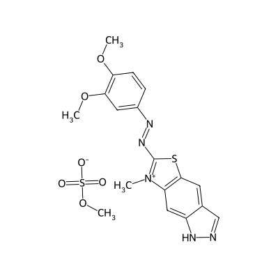 COS(=O)(=O)[O-].COc1ccc(/N=N/c2sc3cc4cn[nH]c4cc3[n+]2C)cc1OC